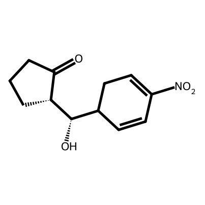 O=C1CCC[C@H]1[C@@H](O)C1C=CC([N+](=O)[O-])=CC1